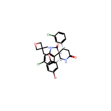 CC1(COc2ccc(Br)cc2[C@H]2NC(=O)C[C@@H](c3cccc(Cl)c3)[C@]23C(=O)Nc2cc(Cl)ccc23)COC1